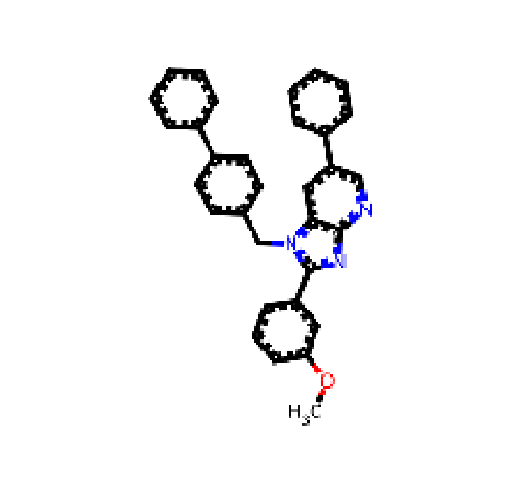 COc1cccc(-c2nc3ncc(-c4ccccc4)cc3n2Cc2ccc(-c3ccccc3)cc2)c1